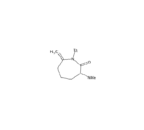 C=C1CCCC(NC)C(=O)N1CC